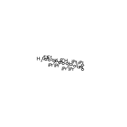 CCC1(CC)c2cc(C)ccc2-c2ccc(-c3ccc4c(c3)C(CCC(C)C)(CCC(C)C)c3cc(-c5ccc6c(c5)C(C)(C)c5cc(-c7ccc8c(c7)C(CCC(C)C)(CCC(C)C)c7cc(-c9ccc%10c(c9)C(CCC(C)C)(CCC(C)C)c9cc(N(c%11ccccc%11)c%11ccccc%11)ccc9-%10)ccc7-8)ccc5-6)ccc3-4)cc21